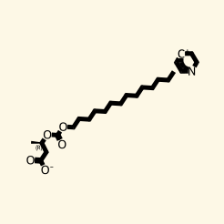 C1CN2CC[C+]1CC2.CCCCCCCCCCCCCCOC(=O)O[C@H](C)CC(=O)[O-]